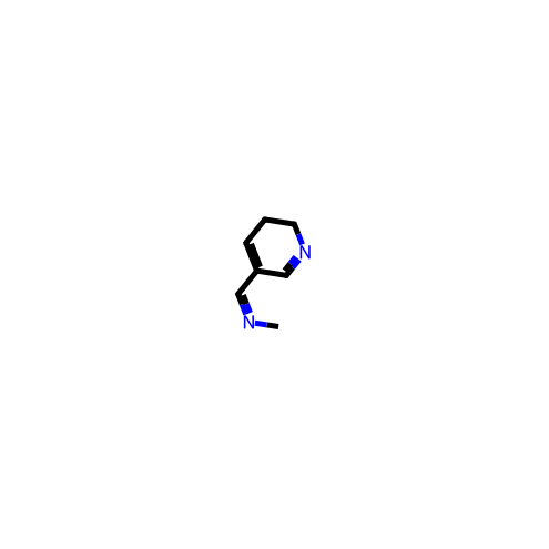 C/N=C\C1=CCCN=C1